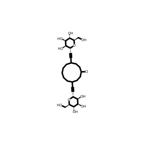 OC[C@H]1O[C@H](C#CC2CCCCCC(C#C[C@H]3O[C@H](CO)[C@@H](O)[C@H](O)[C@@H]3O)CCC(Cl)CC2)[C@@H](O)[C@@H](O)[C@@H]1O